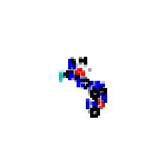 CN=C[C@@H]1C[C@H](F)CN1C(=O)CN1CCC(Nc2ccc(C(=O)Nc3ccccc3)c3ncccc23)CC1